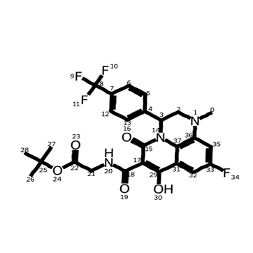 CN1CC(c2ccc(C(F)(F)F)cc2)n2c(=O)c(C(=O)NCC(=O)OC(C)(C)C)c(O)c3cc(F)cc1c32